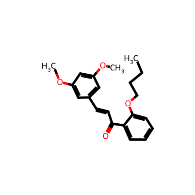 CCCCOc1ccccc1C(=O)/C=C/c1cc(OC)cc(OC)c1